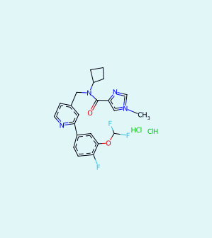 Cl.Cl.Cn1cnc(C(=O)N(Cc2ccnc(-c3ccc(F)c(OC(F)F)c3)c2)C2CCC2)c1